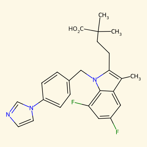 Cc1c(CCC(C)(C)C(=O)O)n(Cc2ccc(-n3ccnc3)cc2)c2c(F)cc(F)cc12